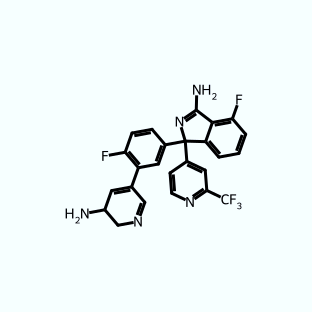 NC1=NC(c2ccnc(C(F)(F)F)c2)(c2ccc(F)c(C3=CC(N)CN=C3)c2)c2cccc(F)c21